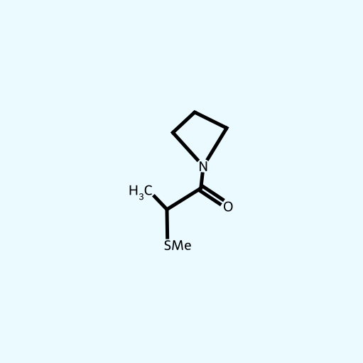 CSC(C)C(=O)N1CCC1